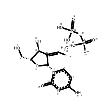 Nc1ccn([C@@H]2O[C@H](CO)[C@@H](O)/C2=C/F)c(=O)n1.O.O=P(O)(O)OP(=O)(O)O